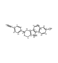 N#Cc1ccc(N2CCc3[nH]c4c(cnc5cc(Cl)ccc54)c3C2)cc1